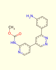 COC(=O)Nc1cc(-c2cnnc(-c3cccc(N)c3)c2)ccn1